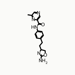 Cc1cncc(C(=O)Nc2ccc(CCC3COC(N)=N3)cc2)n1